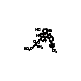 CCc1cccc(CC)c1-n1nc2c(c1-c1c(F)cc(COC(=O)C(N)CCC(=O)O)c3[nH]ccc13)CN(c1ncc(C(F)(F)F)cn1)CC2.Cl